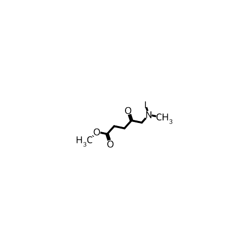 COC(=O)CCC(=O)CN(C)I